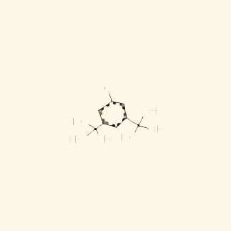 CC(C)(O)c1cc(Cl)cc(C(C)(C)O)c1